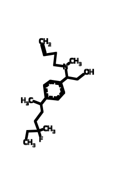 C=CCCN(C)C(CO)c1ccc(C(C)CCC(C)(F)CC)cc1